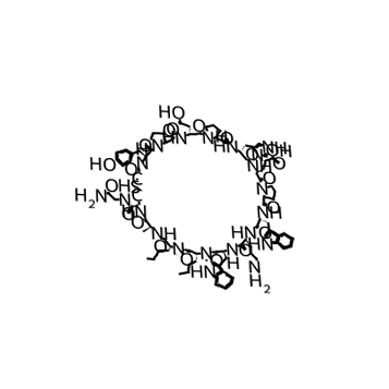 CCCC[C@@H]1C(=O)N(C)[C@H](CCCC)C(=O)N[C@@H](C)C(=O)N[C@@H](C(=O)NCC(N)=O)CSCC(=O)N[C@@H](Cc2ccc(O)cc2)C(=O)N2CCCC2C(=O)N[C@H](CC(=O)O)C(=O)N2CCC[C@H]2C(=O)N[C@H](Cc2c[nH]cn2)C(=O)N[C@@H](CCC(=O)O)C(=O)N2CCCC2C(=O)N[C@H](Cc2c[nH]c3ccccc23)C(=O)N[C@@H](CCCN)C(=O)N[C@@H](Cc2c[nH]c3ccccc23)C(=O)N1C